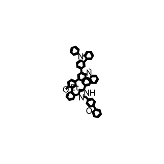 CCC1=C(c2ccccc2)NC(c2ccc3c(c2)oc2ccccc23)N=C1c1cccc2oc3ccc(-c4cc(-c5ccc6c(c5)c5ccccc5n6-c5ccccc5)c5c(c4)c4ccccc4n5C)cc3c12